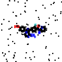 Nc1nccn2c1c(-c1ccc(C(=O)Nc3ccccn3)c(F)c1)nc2[C@H]1CC[C@H](O)CC1